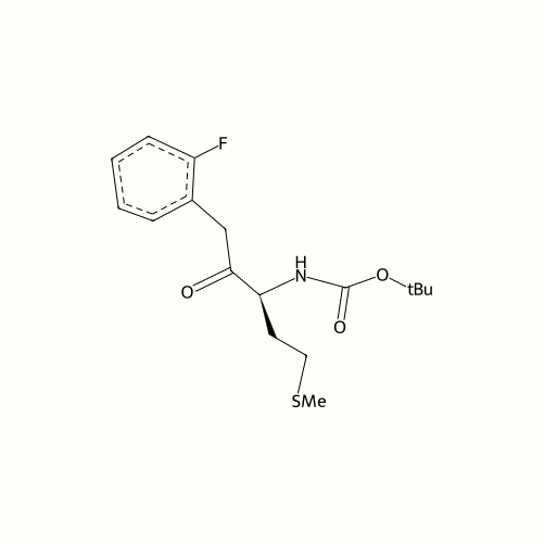 CSCC[C@H](NC(=O)OC(C)(C)C)C(=O)Cc1ccccc1F